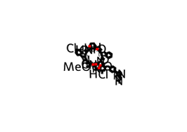 COC[C@@H]1NC(=O)[C@H](CCN(C)C)N(Cc2ccc(Cl)cc2Oc2ccc(-c3cnc(CN(C)C)n3C)cc2)C(=O)C[C@@H](Cc2ccccc2)C(=O)N(C)[C@H]2CCCC[C@@H]2NC(=O)C[C@H](Cc2ccc(Cl)cc2)N(C)C1=O